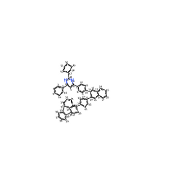 c1ccc(-c2cc(-c3ccc(-c4cc5ccccc5cc4-c4ccc(-c5ccc6c7c(cccc57)-c5ccccc5-6)cc4)cc3)nc(-c3ccccc3)n2)cc1